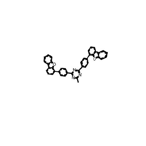 Cc1nc(-c2ccc(-c3cccc4c3oc3ccccc34)cc2)nc(-c2ccc(-c3cccc4c3oc3ccccc34)cc2)n1